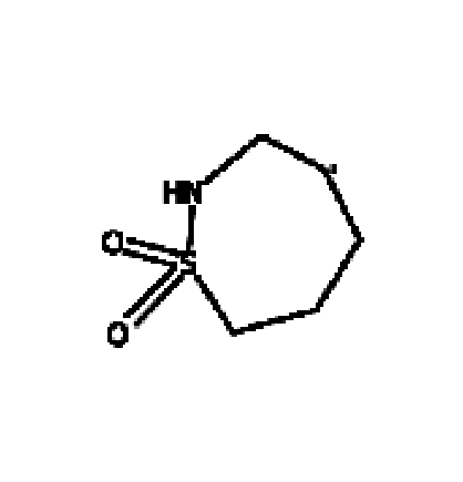 O=S1(=O)CCC[C]CN1